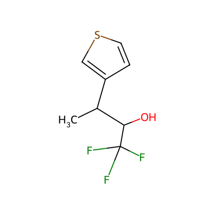 CC(c1ccsc1)C(O)C(F)(F)F